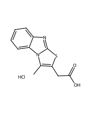 Cc1c(CC(=O)O)sc2nc3ccccc3n12.Cl